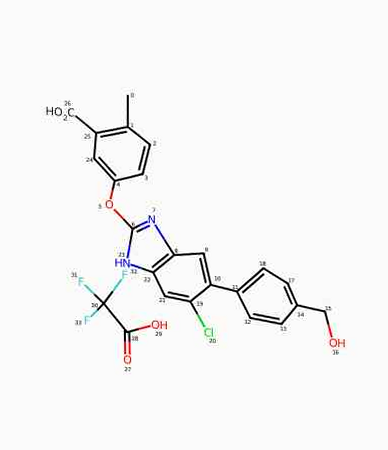 Cc1ccc(Oc2nc3cc(-c4ccc(CO)cc4)c(Cl)cc3[nH]2)cc1C(=O)O.O=C(O)C(F)(F)F